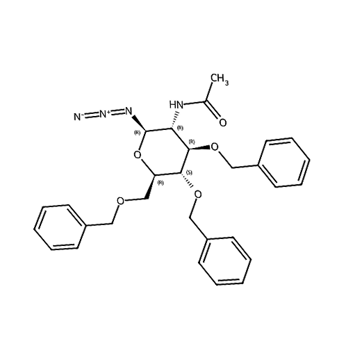 CC(=O)N[C@@H]1[C@@H](OCc2ccccc2)[C@H](OCc2ccccc2)[C@@H](COCc2ccccc2)O[C@H]1N=[N+]=[N-]